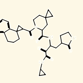 O=C(NC1CC1)C(=O)C(CC1CCNC1=O)NC(=O)C1CC2(CCN1C(=O)C1CC13CCCc1ccccc13)CC2